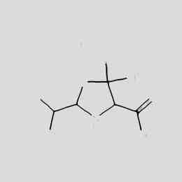 CC(C)C1NC(C(=O)O)C(C)(C)S1.Cl